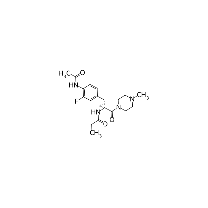 CCC(=O)N[C@H](Cc1ccc(NC(C)=O)c(F)c1)C(=O)N1CCN(C)CC1